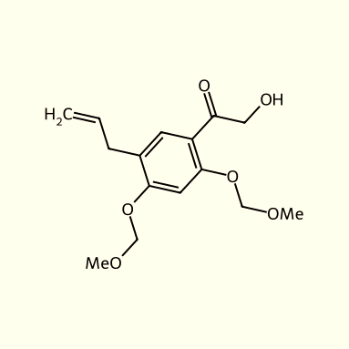 C=CCc1cc(C(=O)CO)c(OCOC)cc1OCOC